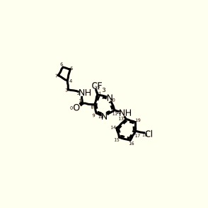 O=C(NCC1CCC1)c1cnc(Nc2cccc(Cl)c2)nc1C(F)(F)F